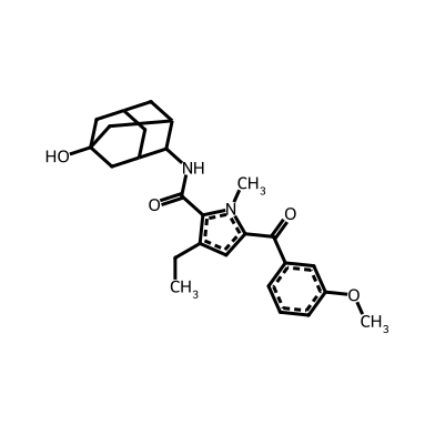 CCc1cc(C(=O)c2cccc(OC)c2)n(C)c1C(=O)NC1C2CC3CC1CC(O)(C3)C2